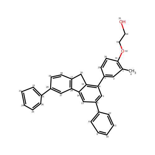 Cc1cc(-c2cc(-c3ccccc3)cc3c2Cc2ccc(-c4ccccc4)cc2-3)ccc1OCCO